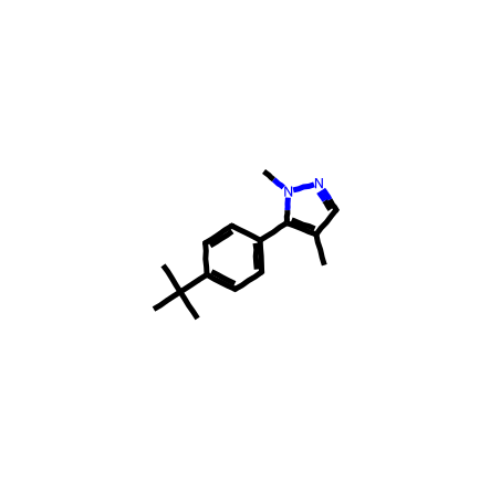 Cc1cnn(C)c1-c1ccc(C(C)(C)C)cc1